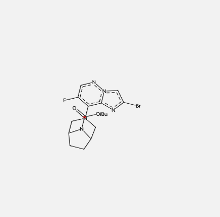 CC(C)COC(=O)N1C2CCC1CN(c1c(F)cnn3cc(Br)nc13)C2